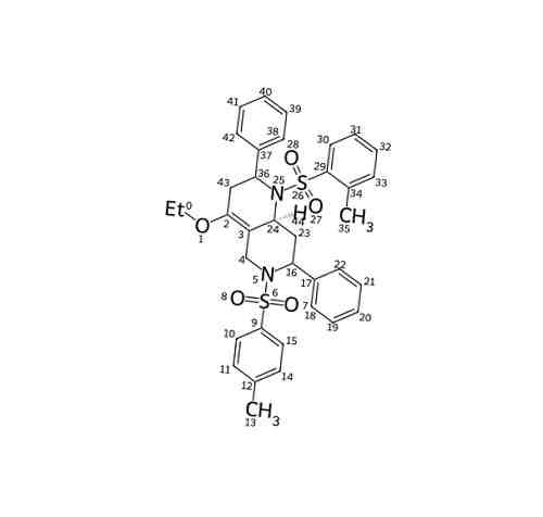 CCOC1=C2CN(S(=O)(=O)c3ccc(C)cc3)C(c3ccccc3)C[C@@H]2N(S(=O)(=O)c2ccccc2C)C(c2ccccc2)C1